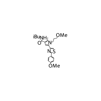 CCC(C)NC(=O)c1cc(-c2csc(-c3ccc(OC)cc3)n2)n(CCCOC)c1C